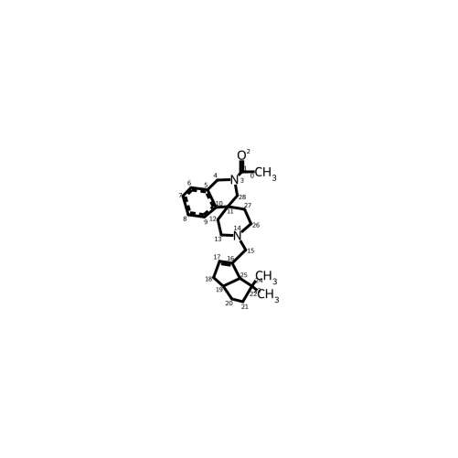 CC(=O)N1Cc2ccccc2C2(CCN(CC3=CCC4CCC(C)(C)C34)CC2)C1